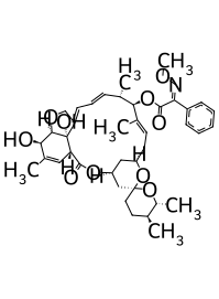 CO/N=C(\C(=O)O[C@H]1/C(C)=C/C[C@@H]2C[C@@H](C[C@]3(CC[C@H](C)[C@@H](C)O3)O2)OC(=O)[C@@H]2C=C(C)[C@@H](O)[C@H]3OC/C(=C\C=C\[C@@H]1C)[C@]32O)c1ccccc1